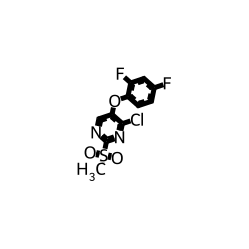 CS(=O)(=O)c1ncc(Oc2ccc(F)cc2F)c(Cl)n1